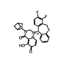 O=C1c2c(O)c(=O)ccn2N([C@@H]2c3ccccc3SCc3c2ccc(F)c3F)CN1C1CC2CC1C2